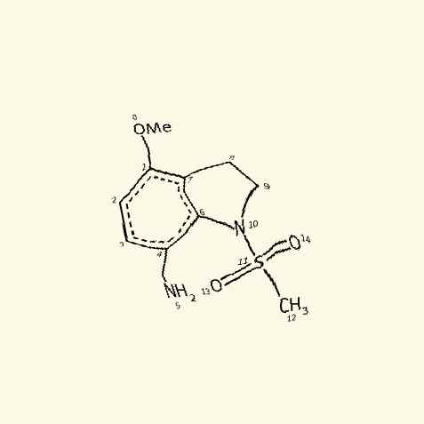 COc1ccc(N)c2c1CCN2S(C)(=O)=O